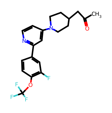 CC(=O)CC1CCN(c2ccnc(-c3ccc(OC(F)(F)F)c(F)c3)c2)CC1